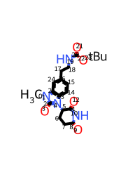 Cn1c(=O)n(C2CCC(=O)NC2=O)c2ccc(CCNC(=O)OC(C)(C)C)cc21